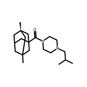 CC(C)CN1CCN(C(=O)C23CC4CC(C)(C2)C[C@](C)(C4)C3)CC1